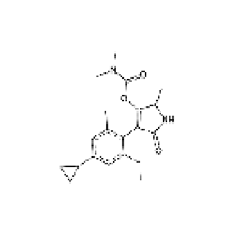 CCc1cc(C2CC2)cc(C)c1C1=C(OC(=O)N(C)C)C(C)NC1=O